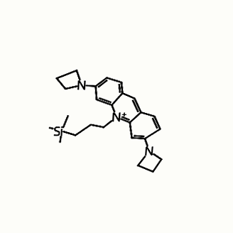 C[Si](C)(C)CCC[n+]1c2cc(N3CCC3)ccc2cc2ccc(N3CCC3)cc21